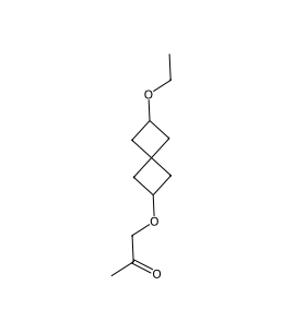 CCOC1CC2(C1)CC(OCC(C)=O)C2